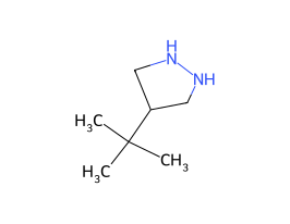 CC(C)(C)C1CNNC1